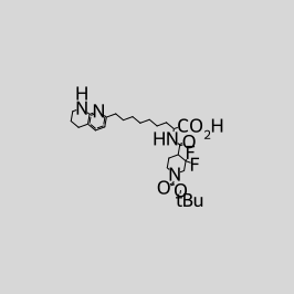 CC(C)(C)OC(=O)N1CCC(C(=O)NC(CCCCCCCc2ccc3c(n2)NCCC3)C(=O)O)C(F)(F)C1